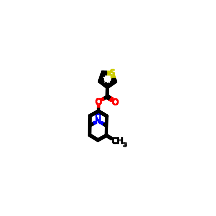 CC1CCC2CC(OC(=O)c3ccsc3)CC1N2